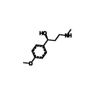 CNCC[C@H](O)c1ccc(OC)cc1